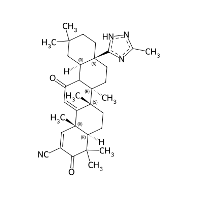 Cc1n[nH]c([C@]23CCC(C)(C)C[C@@H]2C2C(=O)C=C4[C@@]5(C)C=C(C#N)C(=O)C(C)(C)[C@@H]5CC[C@@]4(C)[C@]2(C)CC3)n1